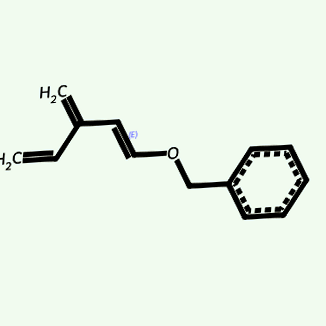 C=CC(=C)/C=C/OCc1ccccc1